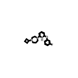 Fc1cccc(OC2C=C[C]=C(N3CCCN(C4CCC4)CC3)N2)c1